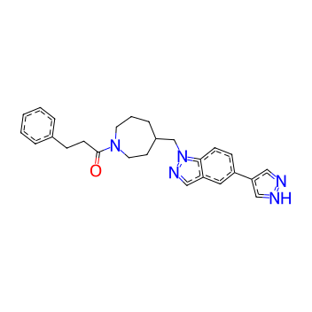 O=C(CCc1ccccc1)N1CCCC(Cn2ncc3cc(-c4cn[nH]c4)ccc32)CC1